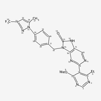 CCc1ncnc(OC)c1-c1ncc2[nH]c(=O)n(Cc3ccc(-n4nc(C(F)(F)F)cc4C)cc3)c2n1